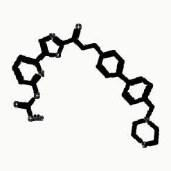 COC(=O)Oc1cccc(-c2cnc(C(=O)CCc3ccc(-c4ccc(CN5CCSCC5)cc4)cc3)o2)n1